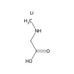 CNCC(=O)O.[Li]